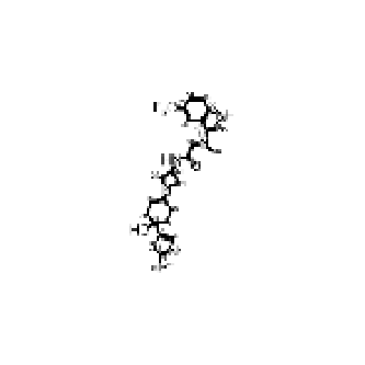 CC(C)c1ncc(C2(O)CCC(N3CC(NC(=O)CN(C)c4n[nH]c5ccc(C(F)(F)F)cc45)C3)CC2)s1